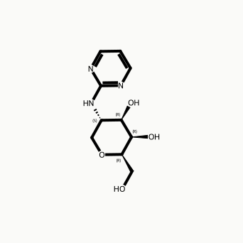 OC[C@H]1OC[C@H](Nc2ncccn2)[C@@H](O)[C@H]1O